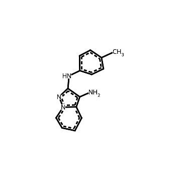 Cc1ccc(Nc2nn3ccccc3c2N)cc1